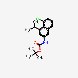 CC(C)c1cc(NC(=O)OC(C)(C)C)cc2cccc(Cl)c12